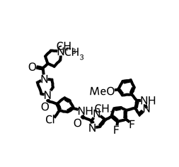 COc1cccc(-c2[nH]ncc2-c2ccc(-c3cnc(C(=O)Nc4ccc(C(=O)N5CCN(C(=O)C6CC[N+](C)(C)CC6)CC5)c(Cl)c4)n3C)c(F)c2F)c1